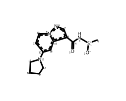 C[S+]([O-])NC(=O)c1cnn2ccc(N3CCCC3)cc12